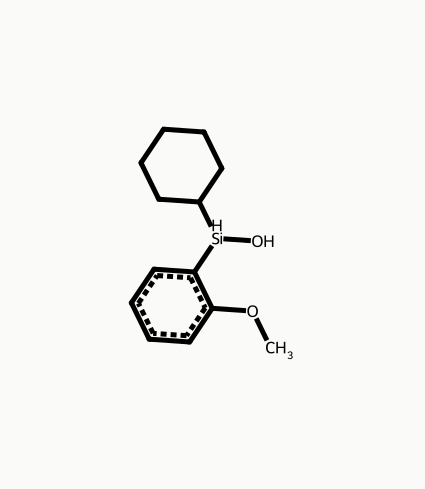 COc1ccccc1[SiH](O)C1CCCCC1